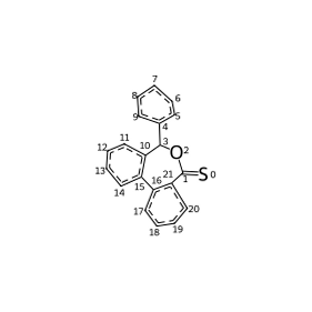 S=C1OC(c2ccccc2)c2ccccc2-c2ccccc21